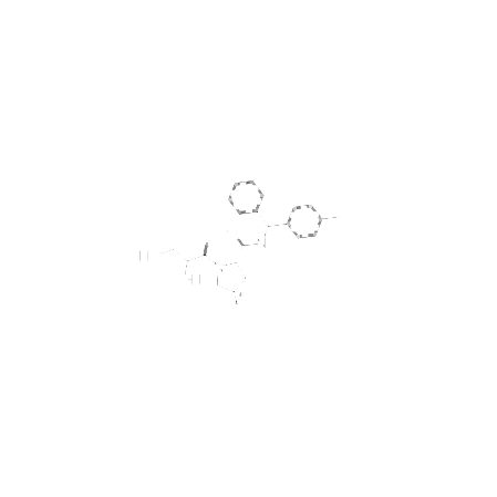 CC(C)c1ccc([C@@H](NC(=O)[C@@H]2C[C@@H](F)CN2C(=O)C(O)CO)c2ccccc2)cc1